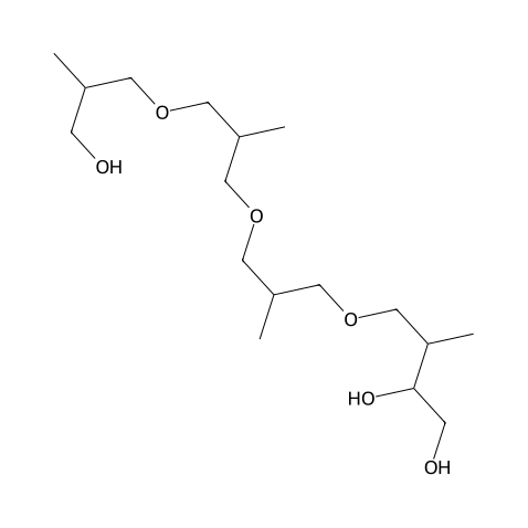 CC(CO)COCC(C)COCC(C)COCC(C)C(O)CO